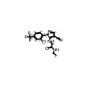 CCNC(=O)CNc1c(C#N)cnn1-c1ccc(C(F)(F)F)cc1Cl